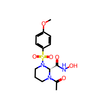 COc1ccc(S(=O)(=O)N2CCCN(C(C)=O)[C@H]2C(=O)NO)cc1